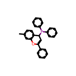 Cc1ccc2c(c1)OC(c1ccccc1)=CC2P(c1ccccc1)c1ccccc1